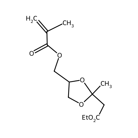 C=C(C)C(=O)OCC1COC(C)(CC(=O)OCC)O1